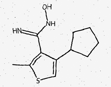 Cc1scc(C2CCCC2)c1C(=N)NO